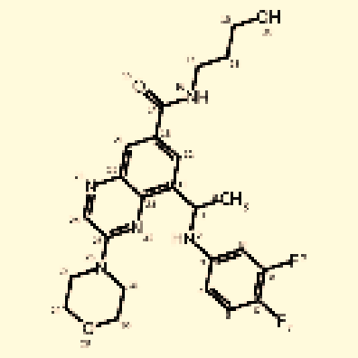 CC(Nc1ccc(F)c(F)c1)c1cc(C(=O)NCCCO)cc2ncc(N3CCOCC3)nc12